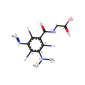 C=Nc1c(I)c(C(=O)NCC(=O)O)c(I)c(N(C)C)c1I